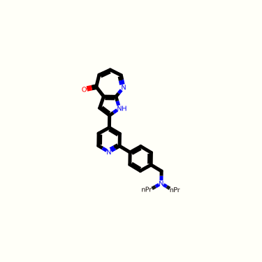 CCCN(CCC)Cc1ccc(-c2cc(-c3cc4c(=O)cccnc4[nH]3)ccn2)cc1